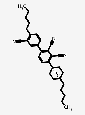 CCCCCc1ccc(-c2ccc(C34CCC(CCCCC)(CC3)CC4)c(C#N)c2C#N)cc1C#N